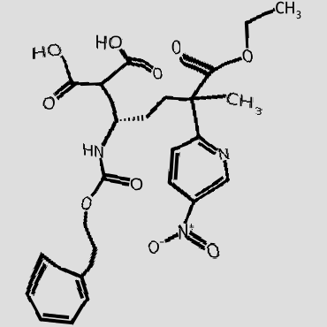 CCOC(=O)C(C)(CC[C@H](NC(=O)OCc1ccccc1)C(C(=O)O)C(=O)O)c1ccc([N+](=O)[O-])cn1